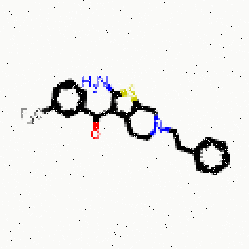 Nc1sc2c(c1C(=O)c1cccc(C(F)(F)F)c1)CCN(CCc1ccccc1)C2